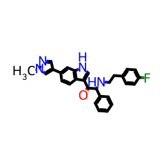 Cn1cc(-c2ccc3c(C(=O)C(NCCc4ccc(F)cc4)c4ccccc4)c[nH]c3c2)cn1